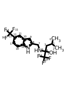 CC(C)CC(O)(NCc1cc2cc(C(F)(F)F)ccc2[nH]1)C(F)(F)F